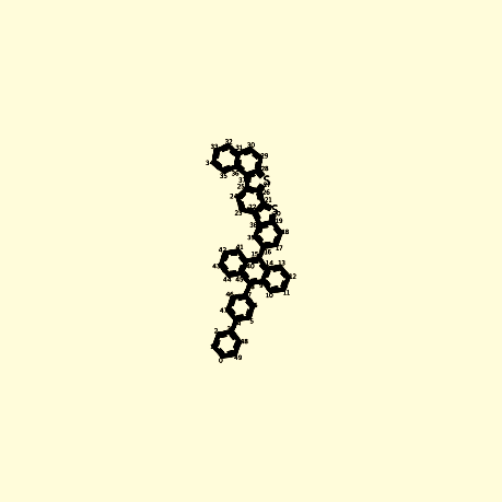 c1ccc(-c2ccc(-c3c4ccccc4c(-c4ccc5sc6c(ccc7c6sc6ccc8ccccc8c67)c5c4)c4ccccc34)cc2)cc1